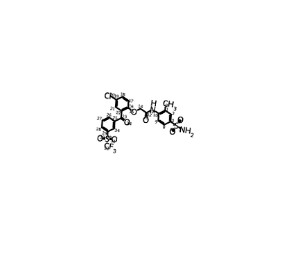 Cc1cc(S(N)(=O)=O)ccc1NC(=O)COc1ccc(Cl)cc1C(=O)c1cccc(S(=O)(=O)C(F)(F)F)c1